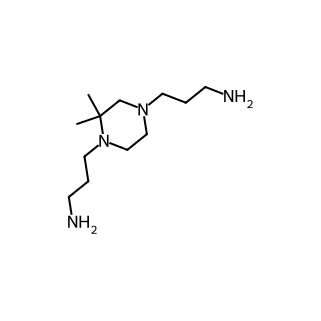 CC1(C)CN(CCCN)CCN1CCCN